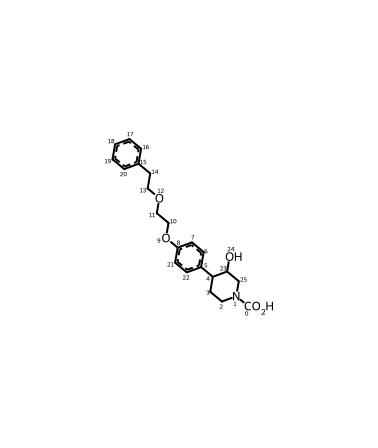 O=C(O)N1CCC(c2ccc(OCCOCCc3ccccc3)cc2)C(O)C1